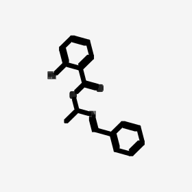 CCc1ccccc1C(=O)OC(C)N=Cc1ccccc1